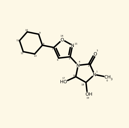 CN1C(=O)N(c2cc(C3CCCCC3)on2)C(O)C1O